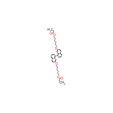 C=CC(=O)OCCCCCCOc1ccc2cccc(-c3cccc4ccc(OCCCCCCOC(=O)C=C)cc34)c2c1